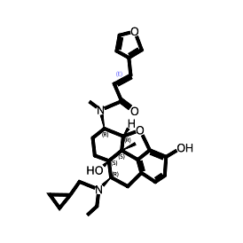 CCN(CC1CC1)[C@@H]1Cc2ccc(O)c3c2[C@@]2(C)[C@@H](O3)[C@H](N(C)C(=O)/C=C/c3ccoc3)CC[C@@]12O